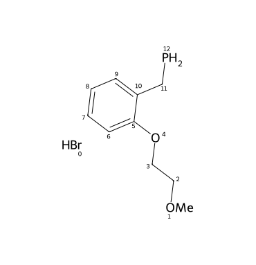 Br.COCCOc1ccccc1CP